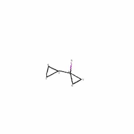 IC1(C2CC2)CC1